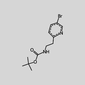 CC(C)(C)OC(=O)NCCc1ccc(Br)cn1